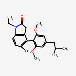 CCN1C(=O)Cc2c1ccc(C)c2-c1c(OC)cc(CC(C)C)cc1OC